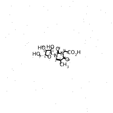 Cc1cn([C@@H]2O[C@H](CO)[C@@H](O)[C@H]2O)c(=O)n(CC(=O)O)c1=O